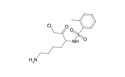 Cc1ccccc1S(=O)(=O)NC(CCCCN)C(=O)CCl